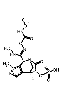 CN/C(=N\OC(=O)NOC)[C@@H]1c2c(cnn2C)[C@H]2CN1C(=O)N2OS(=O)(=O)O